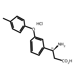 Cc1ccc(Oc2cccc([C@@H](N)CC(=O)O)c2)cc1.Cl